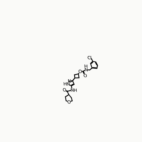 O=C(NCc1cccc(Cl)c1)OC1CC(c2cc(NC(=O)C3CCOCC3)[nH]n2)C1